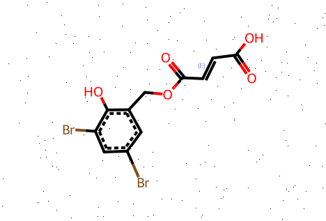 O=C(O)/C=C/C(=O)OCc1cc(Br)cc(Br)c1O